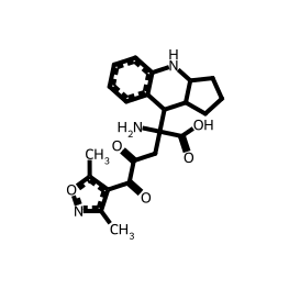 Cc1noc(C)c1C(=O)C(=O)CC(N)(C(=O)O)C1c2ccccc2NC2CCCC21